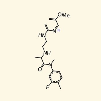 C=C(/N=C\C(=C)OC)NCCNC(C)C(=O)N(C)c1ccc(C)c(F)c1